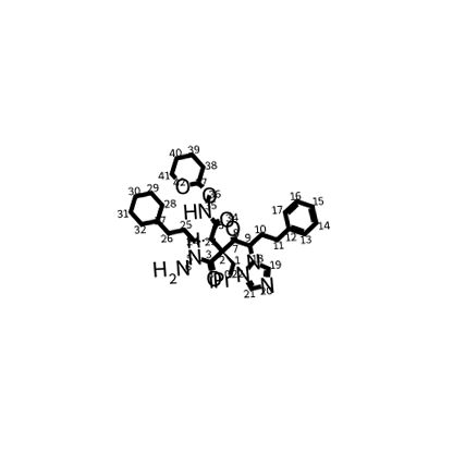 CC(C)C[C@](C(=O)NN)(C(=O)C(CCc1ccccc1)n1cncn1)[C@H](CCCC1CCCCC1)C(=O)NOC1CCCCO1